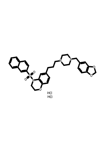 Cl.Cl.O=S(=O)(c1ccc2ccccc2c1)N1CCOc2ccc(CCCN3CCN(Cc4ccc5c(c4)OCO5)CC3)cc21